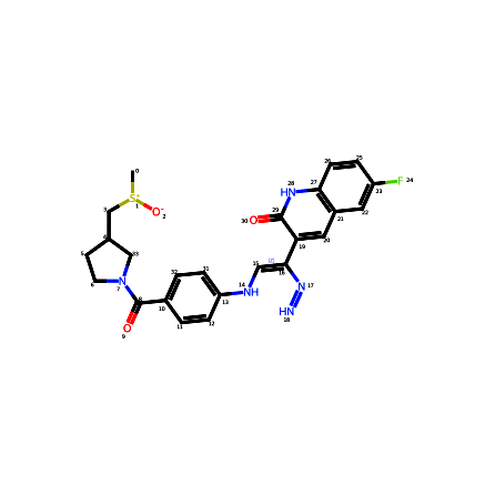 C[S+]([O-])CC1CCN(C(=O)c2ccc(N/C=C(\N=N)c3cc4cc(F)ccc4[nH]c3=O)cc2)C1